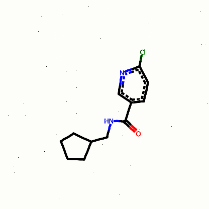 O=C(NCC1CCCC1)c1ccc(Cl)nc1